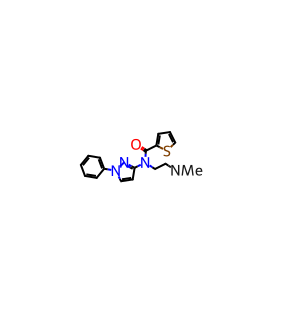 CNCCN(C(=O)c1cccs1)c1ccn(-c2ccccc2)n1